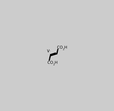 O=C(O)C=CC(=O)O.[V]